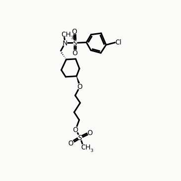 CN(C[C@H]1CC[C@H](OCCCCOS(C)(=O)=O)CC1)S(=O)(=O)c1ccc(Cl)cc1